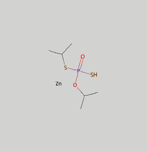 CC(C)OP(=O)(S)SC(C)C.[Zn]